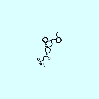 CCc1ccccc1CN1CCC2(CCN(C(=O)CCC(N)=O)CC2)Oc2ccccc21